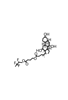 C[C@H](CCC(=O)OCCCC(=O)OCC(F)C(C)(F)F)[C@H]1CC[C@H]2[C@@H]3[C@H](O)C[C@@H]4C[C@H](O)CC[C@]4(C)[C@H]3C[C@H](O)[C@]12C